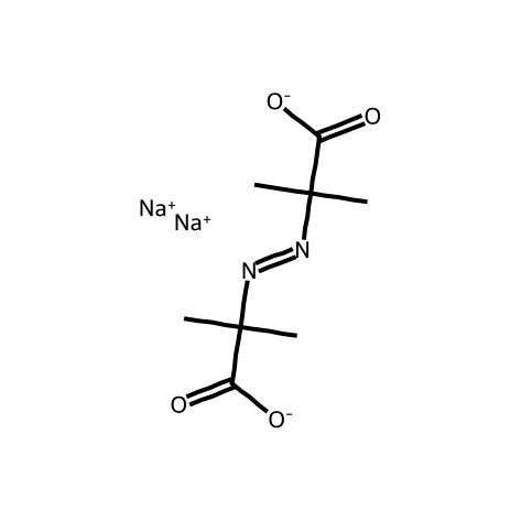 CC(C)(N=NC(C)(C)C(=O)[O-])C(=O)[O-].[Na+].[Na+]